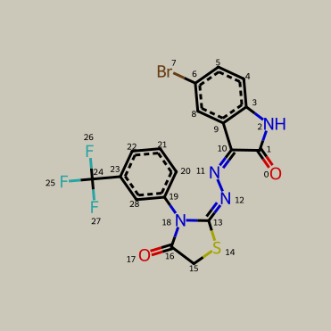 O=C1Nc2ccc(Br)cc2C1=NN=C1SCC(=O)N1c1cccc(C(F)(F)F)c1